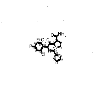 CCOC(=O)C1=C2C(C(N)=O)CCN2C(c2nccs2)=NC1c1ccc(F)cc1Cl